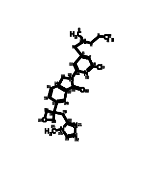 CN(CCC(F)(F)F)Cc1cc(Cl)nc(N2Cc3ccc(C4(Cc5nncn5C)COC4)cc3C2=O)c1